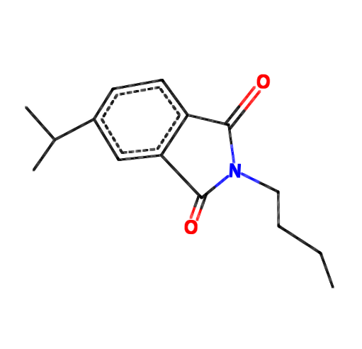 CCCCN1C(=O)c2ccc(C(C)C)cc2C1=O